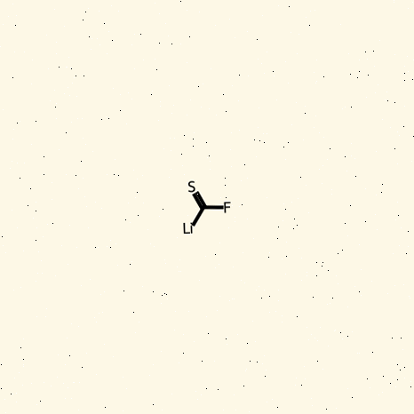 [Li][C](F)=S